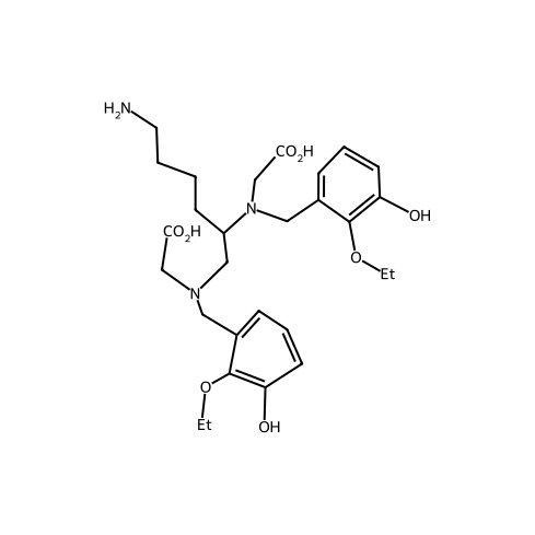 CCOc1c(O)cccc1CN(CC(=O)O)CC(CCCCN)N(CC(=O)O)Cc1cccc(O)c1OCC